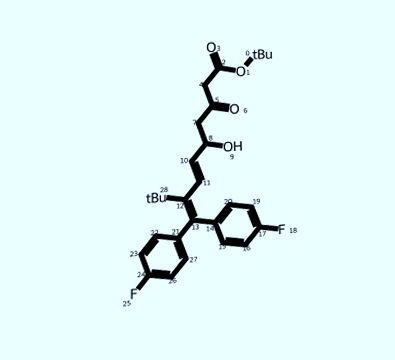 CC(C)(C)OC(=O)CC(=O)CC(O)C=CC(=C(c1ccc(F)cc1)c1ccc(F)cc1)C(C)(C)C